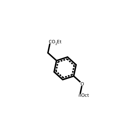 CCCCCCCCOc1ccc(CC(=O)OCC)cc1